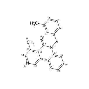 Cc1cccc(CN(C(=O)c2ccncc2C)c2ccccc2)c1